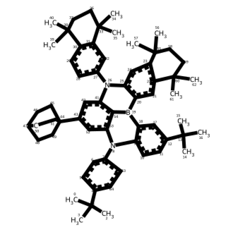 CC(C)(C)c1ccc(N2c3ccc(C(C)(C)C)cc3B3c4cc5c(cc4N(c4ccc6c(c4)C(C)(C)CCC6(C)C)c4cc(C67CCC(CC6)CC7)cc2c43)C(C)(C)CCC5(C)C)cc1